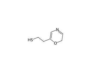 SCCC1=CN=CCO1